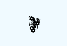 COc1cccc(NC(=O)c2cccc3ccccc23)c1C(=O)NN1CCOCC1